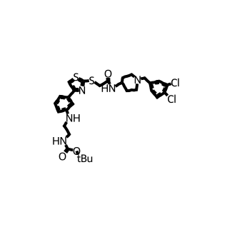 CC(C)(C)OC(=O)NCCNc1cccc(-c2csc(SCC(=O)NC3CCN(Cc4ccc(Cl)c(Cl)c4)CC3)n2)c1